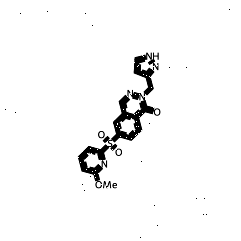 COc1cccc(S(=O)(=O)c2ccc3c(=O)n(Cc4cc[nH]n4)ncc3c2)n1